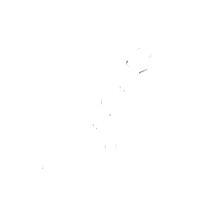 Cc1cc2ccc3c(N(c4cc(-c5ccccc5)ccc4C)c4cccc5c4oc4ccccc45)cc(N(c4c(C)cccc4-c4ccccc4)c4cccc5c4oc4ccccc45)c4ccc(c1)c2c34